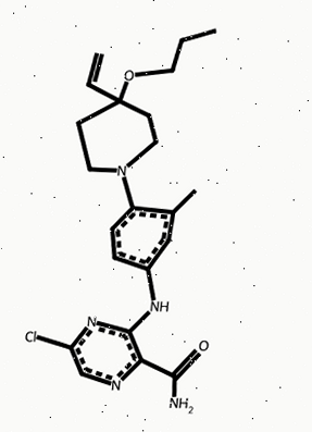 C=CC1(OCCC)CCN(c2ccc(Nc3nc(Cl)cnc3C(N)=O)cc2C)CC1